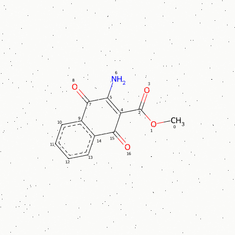 COC(=O)C1=C(N)C(=O)c2ccccc2C1=O